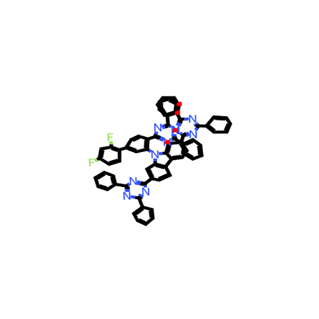 Fc1ccc(-c2ccc(-c3nc(-c4ccccc4)nc(-c4ccccc4)n3)c(-n3c4cc(-c5nc(-c6ccccc6)nc(-c6ccccc6)n5)ccc4c4ccc(-c5nc(-c6ccccc6)nc(-c6ccccc6)n5)cc43)c2)c(F)c1